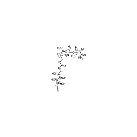 CC(=O)O.CC(N)=O.CCCC(=O)OC[C@@H](O)[C@@H](O)[C@H](O)[C@@H](O)C=O.CNC.NC(=O)CO